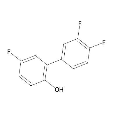 Oc1ccc(F)cc1-c1ccc(F)c(F)c1